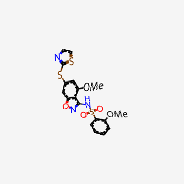 COc1ccccc1S(=O)(=O)Nc1noc2cc(Sc3nccs3)cc(OC)c12